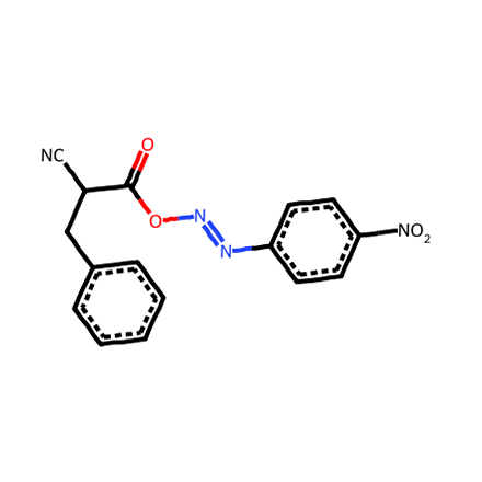 N#CC(Cc1ccccc1)C(=O)ON=Nc1ccc([N+](=O)[O-])cc1